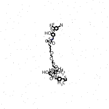 Cc1ccsc1-c1ccc(CNC(=O)C2C[C@@H](O)CN2C(=O)[C@@H](NC(=O)COCCOCCOCCCCCN2C(=O)S/C(=C\c3ccc(Oc4ccc(C#N)cc4C(F)(F)F)c(O)c3)C2=O)C(C)(C)C)cc1